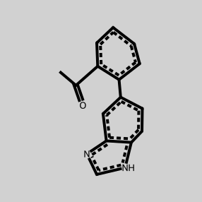 CC(=O)c1ccccc1-c1ccc2[nH]cnc2c1